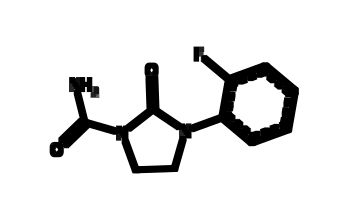 NC(=O)N1CCN(c2ccccc2F)C1=O